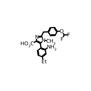 CCc1ccc(-c2c(C(=O)O)nc(Cc3ccc(OC(F)F)cc3)n2C)c(N)c1